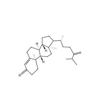 C=C(CC[C@@H](C)C1CC[C@H]2[C@@H]3CCC4=CC(=O)CC[C@]4(C)[C@H]3CC[C@]12C)C(C)C